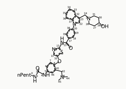 CCCCCNC(=O)Nc1ccc(Oc2cnc(NC(=O)c3ccc(-n4cc(CN5CCC(O)CC5)c5ccccc54)cc3)s2)c(CN(C)C)c1